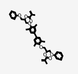 C=C(C)C(=O)OC(COc1ccccc1)COc1c(C)cc(-c2cc(C)c(OCC(COc3ccccc3)OC(=O)C(=C)C)c(C)c2)cc1C